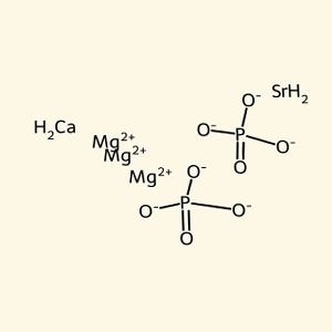 O=P([O-])([O-])[O-].O=P([O-])([O-])[O-].[CaH2].[Mg+2].[Mg+2].[Mg+2].[SrH2]